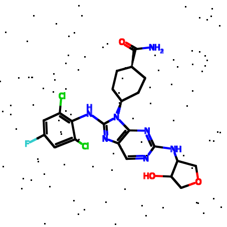 NC(=O)[C@H]1CC[C@@H](n2c(Nc3c(Cl)cc(F)cc3Cl)nc3cnc(NC4COCC4O)nc32)CC1